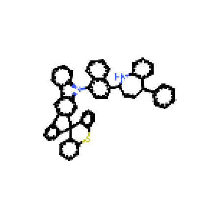 C1=CC(c2ccccc2)c2ccccc2NC1c1ccc(-n2c3ccccc3c3cc4c(cc32)C2(c3ccccc3Sc3ccccc32)c2ccccc2-4)c2ccccc12